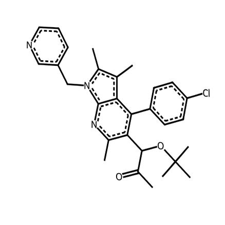 CC(=O)C(OC(C)(C)C)c1c(C)nc2c(c(C)c(C)n2Cc2cccnc2)c1-c1ccc(Cl)cc1